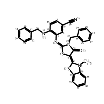 CN1C(=C2SC(=Nc3cc(C#N)ccc3NCc3ccccc3)N(Cc3ccccc3)C2=O)Sc2ccccc21